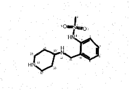 CS(=O)(=O)Nc1ccccc1CNC1CCNCC1